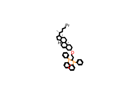 CC(C)CCC[C@@H](C)C1CCC2[C@@H]3CC=C4C[C@@H](OCCC(P(c5ccccc5)c5ccccc5)P(c5ccccc5)c5ccccc5)CC[C@]4(C)C3CC[C@@]21C